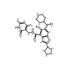 CCc1c(N(CC)C2CCOCC2)cc2oc(C3CCCC3)cc2c1C(=O)NCc1c(C)cc(C)[nH]c1=O